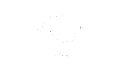 CC(C)OC(C)C.N[C@H](CO)C(=O)O